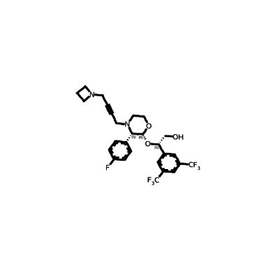 OC[C@@H](O[C@H]1OCCN(CC#CCN2CCC2)[C@H]1c1ccc(F)cc1)c1cc(C(F)(F)F)cc(C(F)(F)F)c1